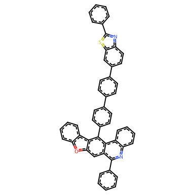 c1ccc(-c2nc3ccc(-c4ccc(-c5ccc(-c6c7c(cc8c(-c9ccccc9)nc9ccccc9c68)oc6ccccc67)cc5)cc4)cc3s2)cc1